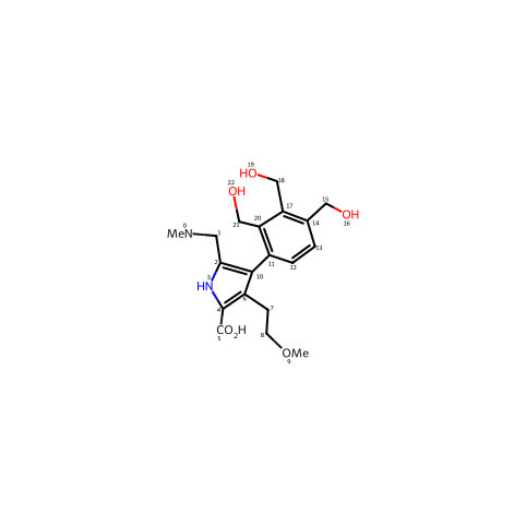 CNCc1[nH]c(C(=O)O)c(CCOC)c1-c1ccc(CO)c(CO)c1CO